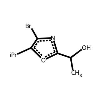 CC(C)c1oc(C(C)O)nc1Br